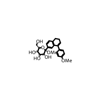 COc1ccc(C2=CCCc3ccc([C@]4(OC)O[C@H](CO)[C@@H](O)[C@H](O)[C@H]4O)cc32)cc1